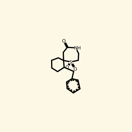 O=C1CC2(CCCCC2Cc2ccccc2)S(=O)(=O)CCN1